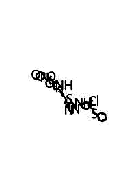 O=C(O[C@H]1CN[C@H](C#Cc2cc3ncnc(Nc4ccc(CSc5ccccc5)c(Cl)c4)c3s2)C1)N1CCOCC1